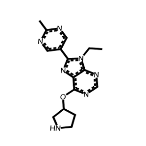 CCn1c(-c2cnc(C)nc2)nc2c(OC3CCNC3)ncnc21